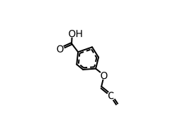 C=C=COc1ccc(C(=O)O)cc1